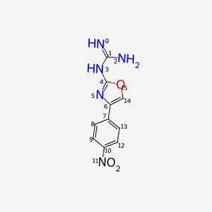 N=C(N)Nc1nc(-c2ccc([N+](=O)[O-])cc2)co1